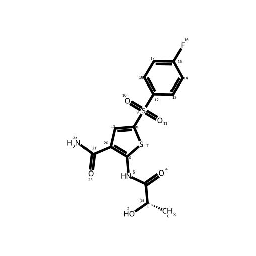 C[C@H](O)C(=O)Nc1sc(S(=O)(=O)c2ccc(F)cc2)cc1C(N)=O